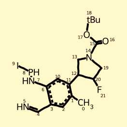 Cc1cc(C=N)c(NPI)cc1C1CN(C(=O)OC(C)(C)C)CC1F